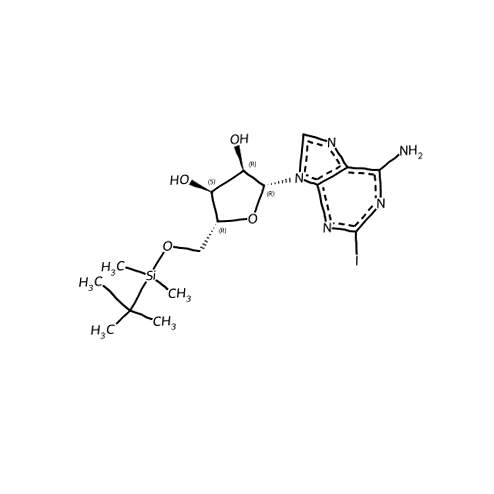 CC(C)(C)[Si](C)(C)OC[C@H]1O[C@@H](n2cnc3c(N)nc(I)nc32)[C@H](O)[C@@H]1O